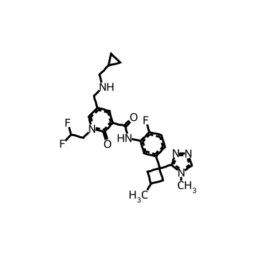 CC1CC(c2ccc(F)c(NC(=O)c3cc(CNCC4CC4)cn(CC(F)F)c3=O)c2)(c2nncn2C)C1